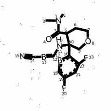 CN(C)C(=O)C1CCOCC1(NC=BC#N)c1bcc(F)cc1F